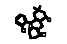 CC1(C)CC(=O)C(CN2CCCCC2)=C(Nc2ccccc2Cl)C1.Cl